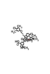 Cc1cc(OCCCc2c3n(c4c(-c5c(C)nn(C)c5C)c(Cl)ccc24)C(C)CN(c2cc(C(=O)O)c4cnn(C)c4c2)C3=O)cc(C)c1Cl